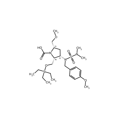 CC[Si](CC)(CC)OC[C@H]1[C@@H](N(Cc2ccc(OC)cc2)S(=O)(=O)N(C)C)C[C@@H](COC)N1C(=O)O